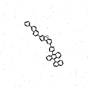 c1ccc(-c2ccc3cc(-c4ccc5c(c4)oc4ccc(-c6ccc(-c7c8ccccc8c(-c8cccc9ccccc89)c8ccccc78)cc6)cc45)ccc3c2)cc1